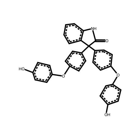 O=C1Nc2ccccc2C1(c1ccc(Oc2ccc(O)cc2)cc1)c1ccc(Oc2ccc(O)cc2)cc1